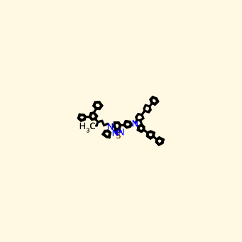 CCC(CCCN(c1ccccc1)c1ccc(-c2ccc(N3c4ccc(-c5ccc(-c6ccccc6)cc5)cc4C4CC(C5C=CC(c6ccccc6)CC5)CCC43)cc2)c2nsnc12)c1cc(-c2ccccc2)cc(-c2ccccc2)c1